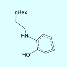 CCCCCCCCNc1ccccc1O